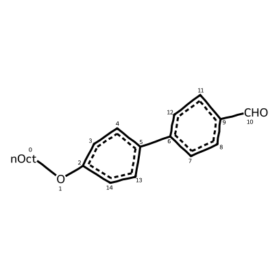 CCCCCCCCOc1ccc(-c2ccc(C=O)cc2)cc1